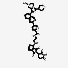 CC(=O)N1CCn2c(C3CCOCC3)nc(-c3cccc4cc(-c5ccc(C(=O)NCCNc6cccc7c6C(=O)N(C6CCC(=O)NC6=O)C7=O)nc5)ncc34)c2C1